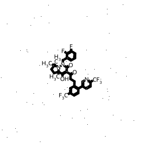 CC1(C)CCC2(C)C(O)=C(C(=O)CCc3cc(C(F)(F)F)ccc3-c3ccc(C(F)(F)F)nc3)C(=O)N(Cc3cccc(F)c3F)N12